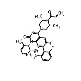 C=CC(=O)N1[C@H](C)CN(c2nc(=O)n([C@H]3C(C)=CCN[C@H]3C(C)C)c3nc(-c4c(N)cccc4F)c(F)cc23)C[C@@H]1C